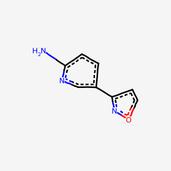 Nc1ccc(-c2ccon2)cn1